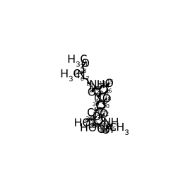 COCCN(C)CCCNC(=O)c1cc(=O)cc2oc3cc(O[C@@H]4OC(CO)[C@H](O)[C@H](O)C4NC(C)=O)c(Cl)cc3nc1-2